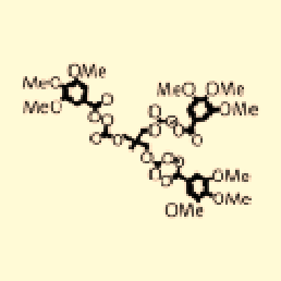 COc1cc(C(=O)OOC(=O)OCC(C)(COC(=O)OOC(=O)c2cc(OC)c(OC)c(OC)c2)COC(=O)OOC(=O)c2cc(OC)c(OC)c(OC)c2)cc(OC)c1OC